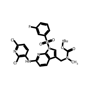 CN(Cc1cn(S(=O)(=O)c2cccc(F)c2)c2nc(Nc3ccc(Cl)nc3Cl)ccc12)C(=O)OC(C)(C)C